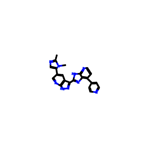 Cc1ncc(-c2cnc3[nH]nc(-c4nc5c(-c6ccncc6)ccnc5[nH]4)c3c2)n1C